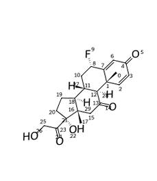 C[C@]12C=CC(=O)C=C1[C@@H](F)C[C@@H]1[C@@H]2C(=O)C[C@@]2(C)[C@H]1CC[C@]2(O)C(=O)CO